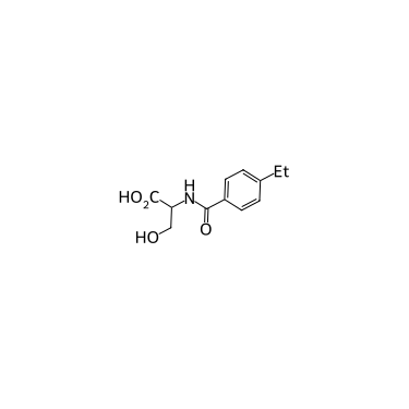 CCc1ccc(C(=O)NC(CO)C(=O)O)cc1